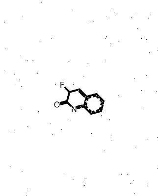 O=C1N=c2ccccc2=CC1F